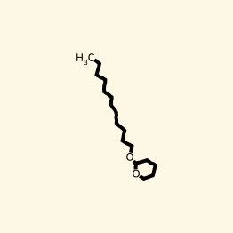 CCCCCCCCCCCCOC1CCCCO1